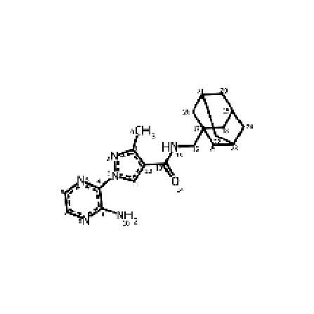 Cc1nn(-c2nccnc2N)cc1C(=O)NCC12CC3CC(CC(C3)C1)C2